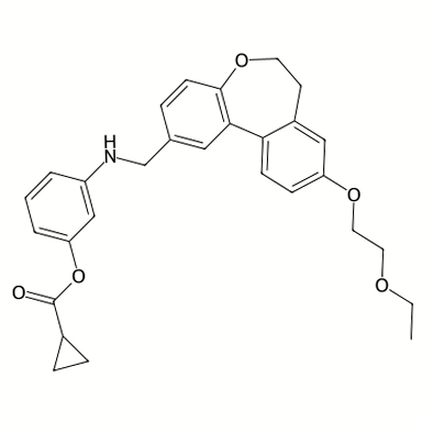 CCOCCOc1ccc2c(c1)CCOc1ccc(CNc3cccc(OC(=O)C4CC4)c3)cc1-2